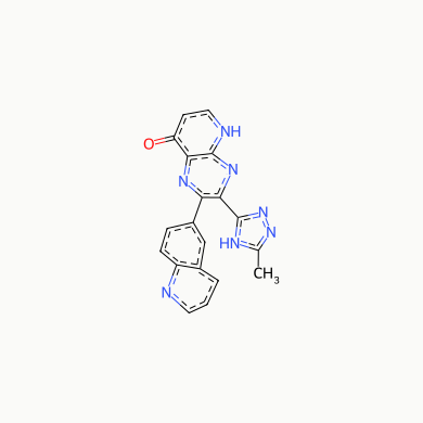 Cc1nnc(-c2nc3[nH]ccc(=O)c3nc2-c2ccc3ncccc3c2)[nH]1